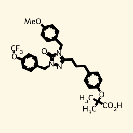 COc1ccc(Cn2c(CCCc3ccc(OC(C)(C)C(=O)O)cc3)nn(Cc3ccc(OC(F)(F)F)cc3)c2=O)cc1